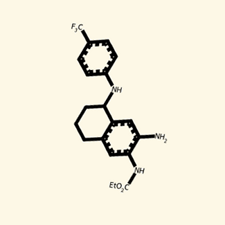 CCOC(=O)Nc1cc2c(cc1N)C(Nc1ccc(C(F)(F)F)cc1)CCC2